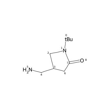 CC(C)(C)N1CC(CN)CC1=O